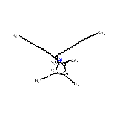 CCCC#Cc1cc(C#CCCC)cc(C2=C(CCCCCC)C(C)=C(c3cc(CCCCCCCCCCCCCCCCCCCCCCCCCCCCC)cc(CCCCCCCCCCCCCCCCCCCCCCCCCCCCC)c3)[N+]2=[N-])c1.CCCCCCCCCCC#[C][Ni][C]#CCCCCCCCCCC